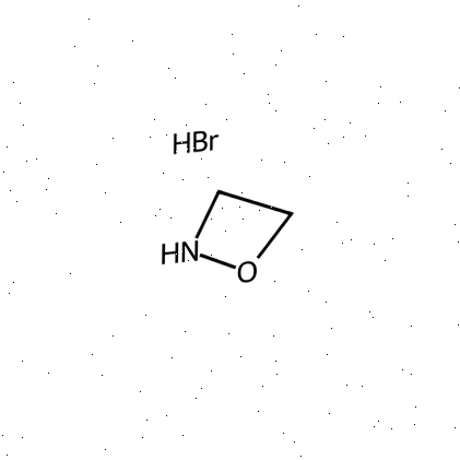 Br.C1CON1